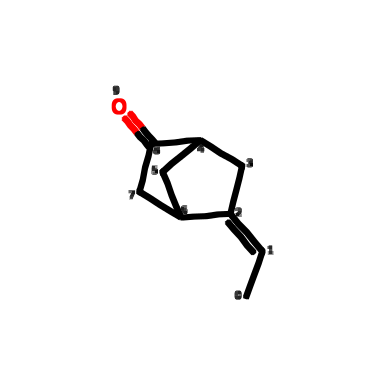 CC=C1CC2CC1CC2=O